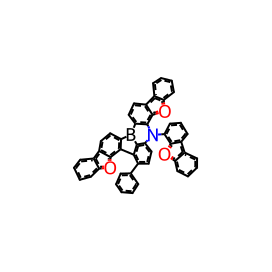 c1ccc(-c2ccc3c4c2-c2c(ccc5c2oc2ccccc25)B4c2ccc4c(oc5ccccc54)c2N3c2cccc3c2oc2ccccc23)cc1